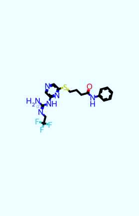 N/C(=N/CC(F)(F)F)Nc1cncc(SCCCC(=O)Nc2ccccc2)n1